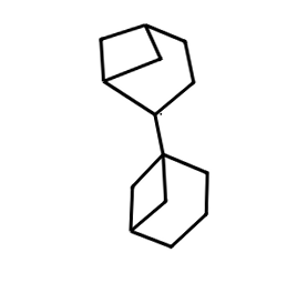 C1CC2CC([C]3CCC4CC3C4)(C1)C2